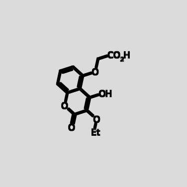 CCOc1c(O)c2c(OCC(=O)O)cccc2oc1=O